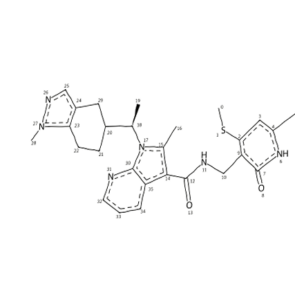 CSc1cc(C)[nH]c(=O)c1CNC(=O)c1c(C)n([C@H](C)C2CCc3c(cnn3C)C2)c2ncccc12